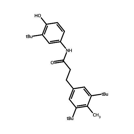 Cc1c(C(C)(C)C)cc(CCC(=O)Nc2ccc(O)c(C(C)(C)C)c2)cc1C(C)(C)C